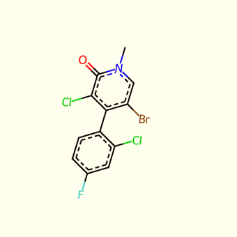 Cn1cc(Br)c(-c2ccc(F)cc2Cl)c(Cl)c1=O